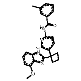 COc1cccc2[nH]c(C3(c4ccc(NC(=O)c5cccc(C)c5)nc4)CCC3)nc12